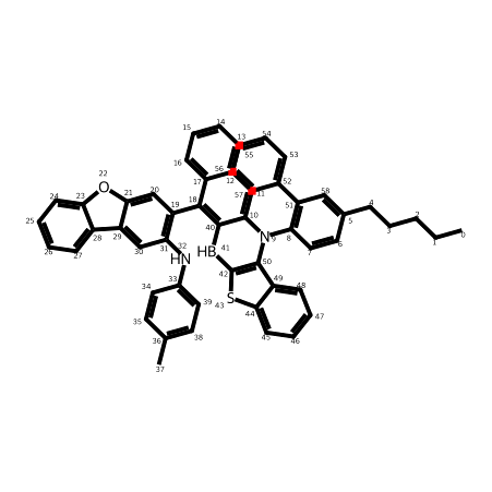 CCCCCc1ccc(N2c3cc4ccccc4c(-c4cc5oc6ccccc6c5cc4Nc4ccc(C)cc4)c3Bc3sc4ccccc4c32)c(-c2ccccc2)c1